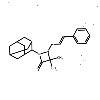 CC1(C)C(=O)N(C2C3CC4CC(C3)CC2C4)N1CC=Cc1ccccc1